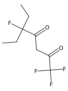 CCC(F)(CC)C(=O)CC(=O)C(F)(F)F